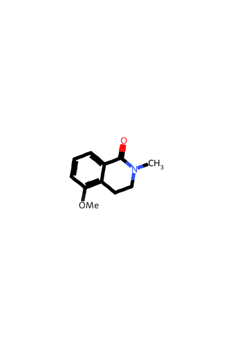 COc1cccc2c1CCN(C)C2=O